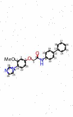 COc1cc(OCC(=O)Nc2ccc(-c3ccccc3)cc2)ccc1-n1ccnc1